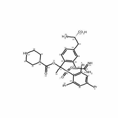 CC(C)c1cc(C(C)C)c(S(=O)(=O)C(C)(OC(=O)N2CCNCC2)c2ccc(C[C@H](N)C(=O)O)cc2NC(=N)N)c(C(C)C)c1